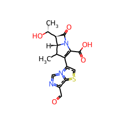 CC1C(c2csc3c(C=O)ncn23)=C(C(=O)O)N2C(=O)[C@H]([C@@H](C)O)[C@@H]12